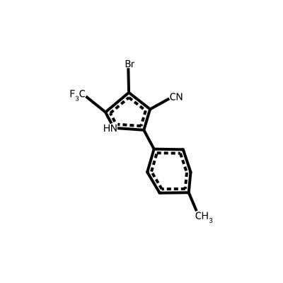 Cc1ccc(-c2[nH]c(C(F)(F)F)c(Br)c2C#N)cc1